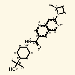 C[C@H]1CCN1c1cc2ncc(C(=O)N[C@H]3CC[C@H](C(C)(C)O)CC3)cc2cn1